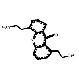 O=c1c2cccc(CCO)c2sc2cccc(CCO)c12